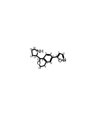 c1cc(-c2ccc3c(c2)CCOC3C2CCCN2)on1